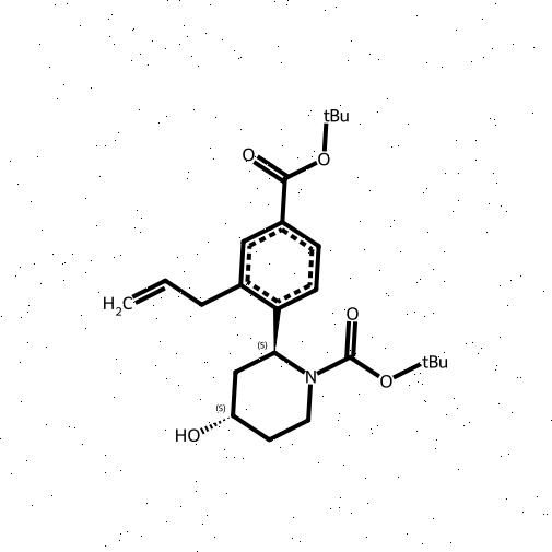 C=CCc1cc(C(=O)OC(C)(C)C)ccc1[C@@H]1C[C@@H](O)CCN1C(=O)OC(C)(C)C